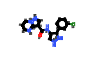 O=C(NC1=CNNC1c1cccc(Cl)c1)c1cnn2cccnc12